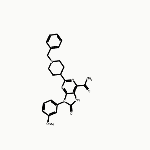 COc1cccc(-n2c(=O)[nH]c3c(C(N)=O)nc(C4CCN(Cc5ccccc5)CC4)nc32)c1